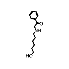 O=C(CNCCCCCCO)c1ccccc1